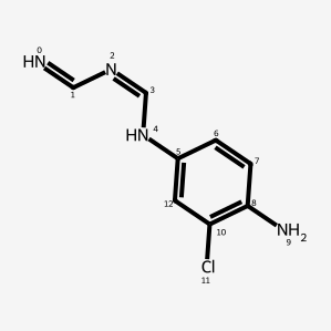 N=C/N=C\Nc1ccc(N)c(Cl)c1